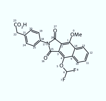 COc1c2c(c(OC(F)F)c3ccccc13)C(=O)N(c1ccc(CC(=O)O)cc1)C2=O